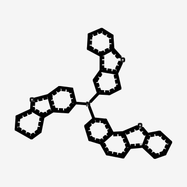 c1ccc2c(c1)oc1ccc(N(c3ccc4oc5ccccc5c4c3)c3ccc4ccc5c6ccccc6oc5c4c3)cc12